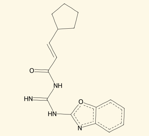 N=C(NC(=O)/C=C/C1CCCC1)Nc1nc2ccccc2o1